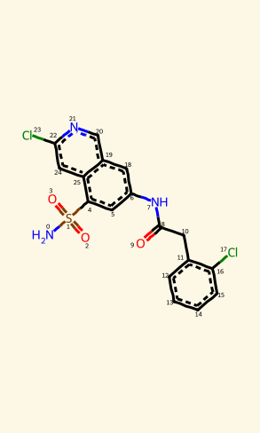 NS(=O)(=O)c1cc(NC(=O)Cc2ccccc2Cl)cc2cnc(Cl)cc12